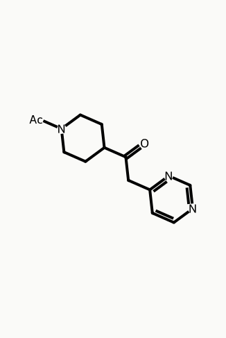 CC(=O)N1CCC(C(=O)Cc2ccncn2)CC1